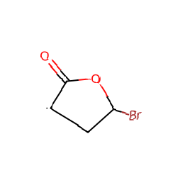 O=C1[CH]CC(Br)O1